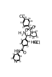 Cl.Cl.NC(c1ccc(C(=O)Nc2ccncc2)cc1)C1CCCN1S(=O)(=O)c1ccc(Cl)cc1